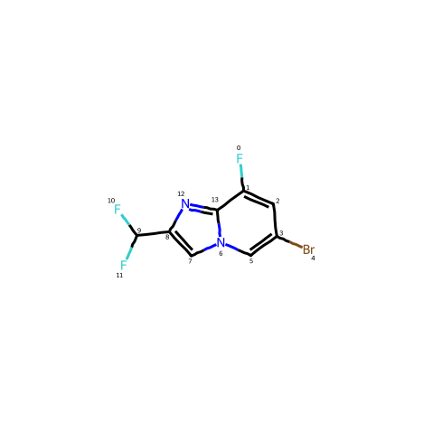 Fc1cc(Br)cn2cc(C(F)F)nc12